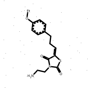 CCOc1ccc(CCC=C2SC(=O)N(CCN)C2=O)cc1